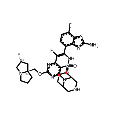 Nc1nc2c(C3=C(F)c4nc(OC[C@@]56CCCN5C[C@H](F)C6)nc(N5C6CNCC5COC6)c4S(=O)(=O)N3)ccc(F)c2s1